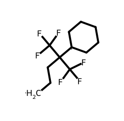 [CH2]CCC([C]1CCCCC1)(C(F)(F)F)C(F)(F)F